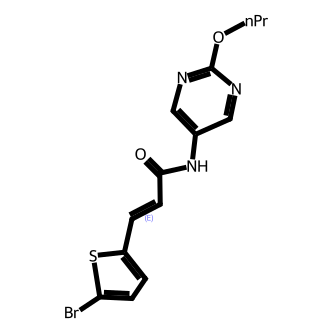 CCCOc1ncc(NC(=O)/C=C/c2ccc(Br)s2)cn1